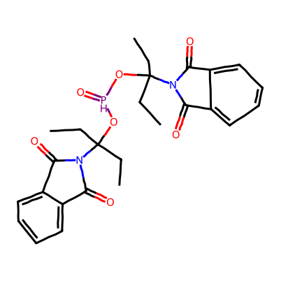 CCC(CC)(O[PH](=O)OC(CC)(CC)N1C(=O)c2ccccc2C1=O)N1C(=O)c2ccccc2C1=O